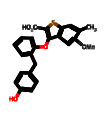 COc1cc2c(Oc3ccccc3Cc3ccc(O)cc3)c(C(=O)O)sc2cc1C